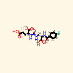 O=C(O)CC[C@H](NC(=O)NC[C@H](NC(=O)c1ccc(F)cc1)C(=O)O)C(=O)O